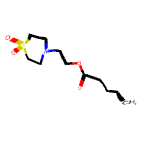 CCCCC(=O)OCCN1CCS(=O)(=O)CC1